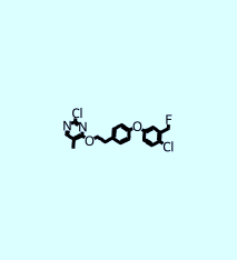 Cc1cnc(Cl)nc1OCCc1ccc(Oc2ccc(Cl)c(CF)c2)cc1